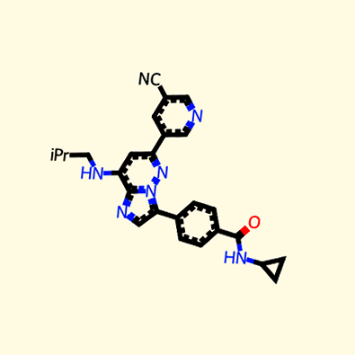 CC(C)CNc1cc(-c2cncc(C#N)c2)nn2c(-c3ccc(C(=O)NC4CC4)cc3)cnc12